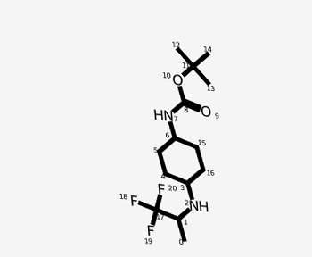 CC(NC1CCC(NC(=O)OC(C)(C)C)CC1)C(F)(F)F